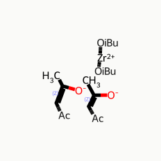 CC(=O)/C=C(/C)[O-].CC(=O)/C=C(/C)[O-].CC(C)C[O][Zr+2][O]CC(C)C